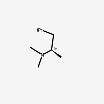 CC(C)C[C@@H](C)N(C)C